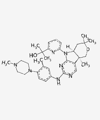 Cc1cc(Nc2ncc3c(n2)N(c2cccc(C(C)(C)O)n2)[C@H]2CC(C)(C)OC[C@@]32C)ccc1N1CCN(C)CC1